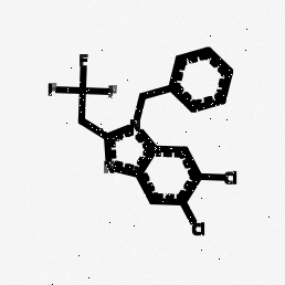 FC(F)(F)Cc1nc2cc(Cl)c(Cl)cc2n1Cc1ccccc1